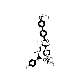 COc1ccc(-c2ccc(C(=O)N[C@@H](CCN[C@H]3C[C@@H]3c3ccc(F)cc3)C(=O)N3CCN(S(C)(=O)=O)CC3)cc2)cc1